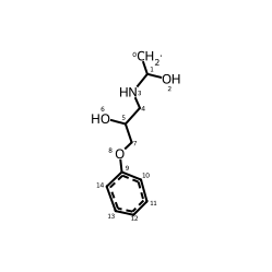 [CH2]C(O)NCC(O)COc1ccccc1